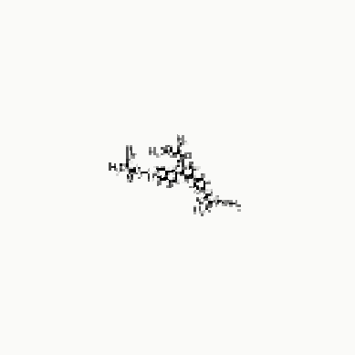 C=C(C)C(=O)OCCOc1ccc2cc(-c3cc(-c4ccc(OC(=O)C(=C)COC)cc4)ccc3OC(=O)C(=C)COC)ccc2c1